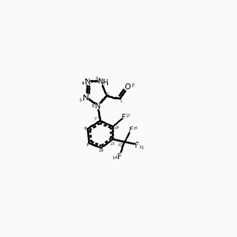 O=CC1NN=NN1c1cccc(C(F)(F)F)c1F